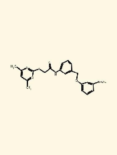 CC(=O)Nc1cccc(OCc2cccc(NC(=O)CSc3nc(C)cc(C)n3)c2)c1